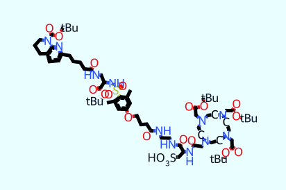 Cc1cc(OCCCC(=O)NCCNC(=O)C(CS(=O)(=O)O)NC(=O)CN2CCN(CC(=O)OC(C)(C)C)CCN(CC(=O)OC(C)(C)C)CCN(CC(=O)OC(C)(C)C)CC2)cc(C)c1S(=O)(=O)NC(CNC(=O)CCCCc1ccc2c(n1)N(C(=O)OC(C)(C)C)CCC2)C(=O)OC(C)(C)C